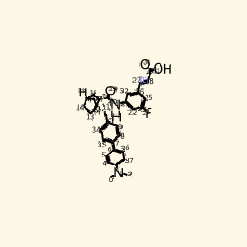 CN(C)c1ccc(-c2ccc(C[C@@]34CC[C@H](C[C@H]3C(=O)Nc3cc(F)cc(/C=C/C(=O)O)c3)C4)cc2)cc1